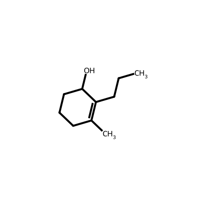 CCCC1=C(C)CCCC1O